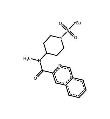 CCCCS(=O)(=O)N1CCC(N(C)C(=O)c2cc3ccccc3cn2)CC1